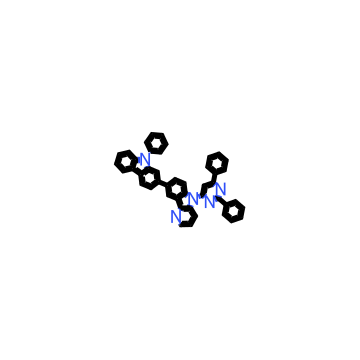 c1ccc(-c2cc(-n3c4ccc(-c5ccc6c7ccccc7n(-c7ccccc7)c6c5)cc4c4ncccc43)nc(-c3ccccc3)n2)cc1